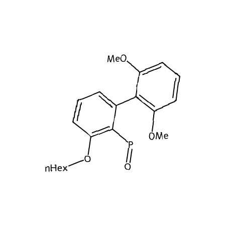 CCCCCCOc1cccc(-c2c(OC)cccc2OC)c1P=O